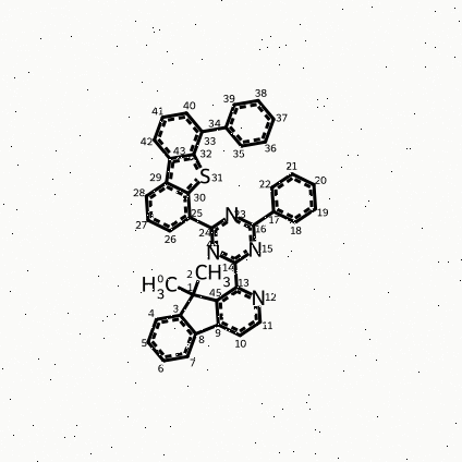 CC1(C)c2ccccc2-c2ccnc(-c3nc(-c4ccccc4)nc(-c4cccc5c4sc4c(-c6ccccc6)cccc45)n3)c21